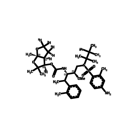 [2H]C1([2H])O[C@]2(C)OC(C)(C)[C@]([2H])(OC(=O)N[C@@H](C(C)c3ccccc3C)[C@@H](CN(C(C)(C)C(C)(C)C(C)C)S(=O)(=O)c3ccc(N)cc3C)OC)[C@]2([2H])C1([2H])[2H]